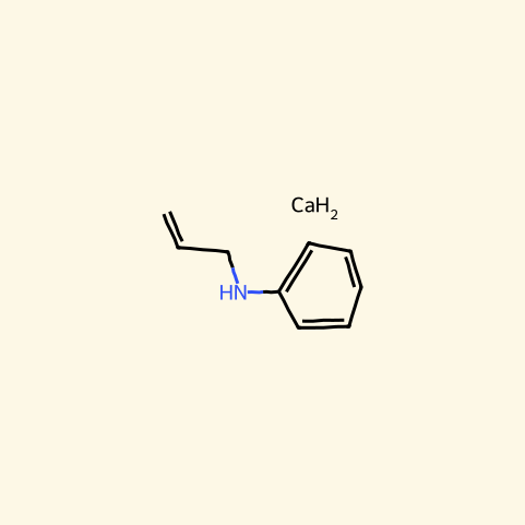 C=CCNc1ccccc1.[CaH2]